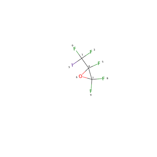 FC(F)(I)C1(F)OC1(F)F